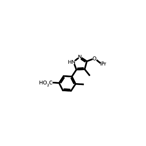 Cc1ccc(C(=O)O)cc1-c1[nH]nc(OC(C)C)c1C